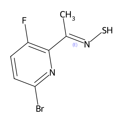 C/C(=N\S)c1nc(Br)ccc1F